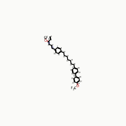 C=C/C(=C\C=C\c1ccc(CCCCCCCc2ccc(-c3ccc(OC(F)(F)F)cc3)cc2)cc1)OC(F)(F)F